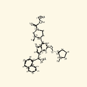 C[C@H]1CN(C(=O)OC(C)(C)C)CCN1c1nc(OC[C@@H]2CCCN2C)nn2c(C(O)c3cccc4ccccc34)cnc12